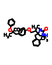 CN1C(=O)NCC1(CCOc1ccc(CC(C)(Oc2ccccc2)C(=O)O)cc1)Cc1ccccc1C(F)(F)F